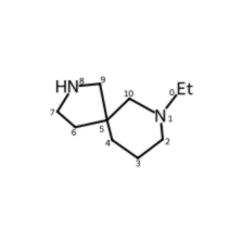 CCN1CCCC2(CCNC2)C1